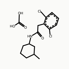 CC1CCCC(NC(=O)Cc2c(Cl)cccc2Cl)C1.O=C(O)O